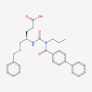 CCCN(C(=O)N[C@H](CCC(=O)O)CSCc1ccccc1)C(=O)c1ccc(-c2ccccc2)cc1